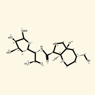 CSC1O[C@H]([C@H](NC(=O)[C@H]2NC[C@@H]3C[C@H](CC(C)C)CCO[C@H]32)[C@H](C)Cl)C[C@@H](O)[C@H]1O